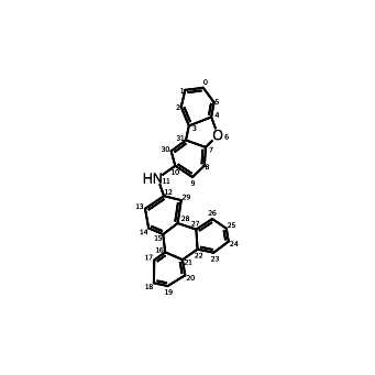 c1ccc2c(c1)oc1ccc(Nc3ccc4c5ccccc5c5ccccc5c4c3)cc12